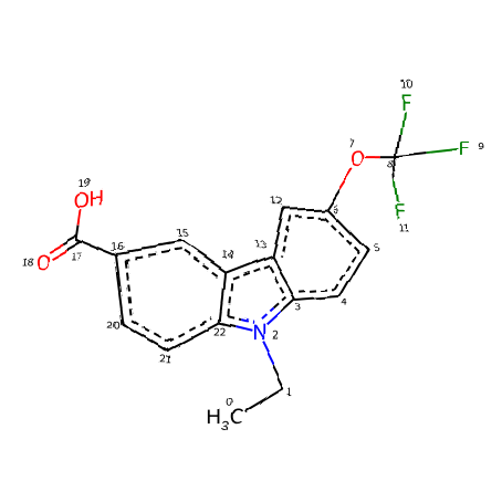 CCn1c2ccc(OC(F)(F)F)cc2c2cc(C(=O)O)ccc21